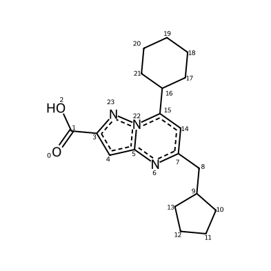 O=C(O)c1cc2nc(CC3CCCC3)cc(C3CCCCC3)n2n1